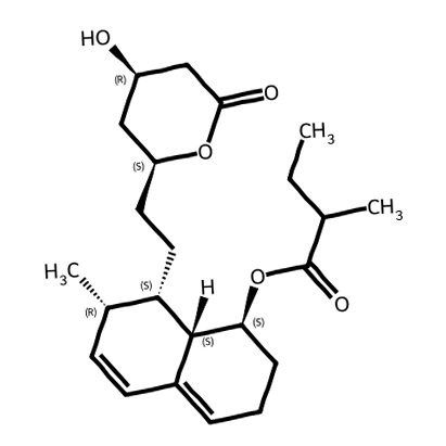 CCC(C)C(=O)O[C@H]1CCC=C2C=C[C@H](C)[C@H](CC[C@H]3C[C@@H](O)CC(=O)O3)[C@@H]21